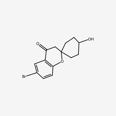 O=C1CC2(CCC(O)CC2)Oc2ccc(Br)cc21